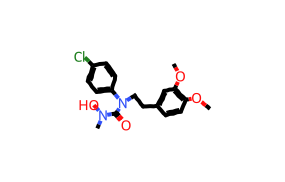 COc1ccc(CCN(C(=O)N(C)O)c2ccc(Cl)cc2)cc1OC